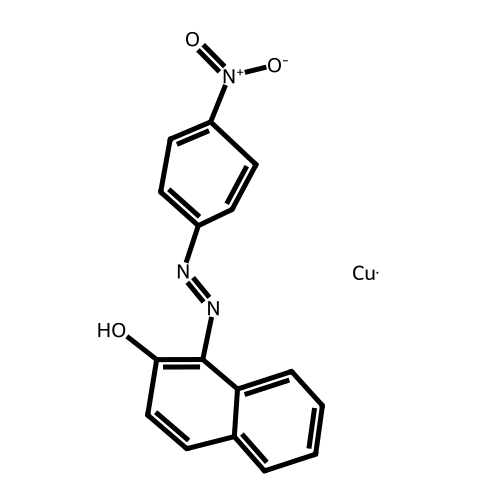 O=[N+]([O-])c1ccc(N=Nc2c(O)ccc3ccccc23)cc1.[Cu]